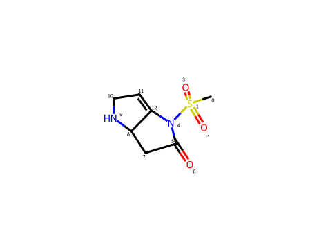 CS(=O)(=O)N1C(=O)CC2NCC=C21